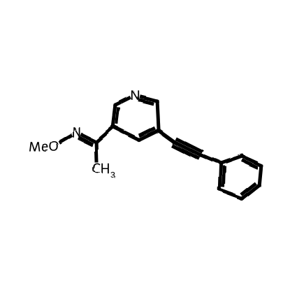 CO/N=C(\C)c1cncc(C#Cc2ccccc2)c1